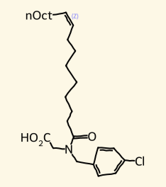 CCCCCCCC/C=C\CCCCCCCC(=O)N(CC(=O)O)Cc1ccc(Cl)cc1